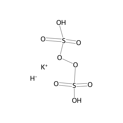 O=S(=O)(O)OOS(=O)(=O)O.[H-].[K+]